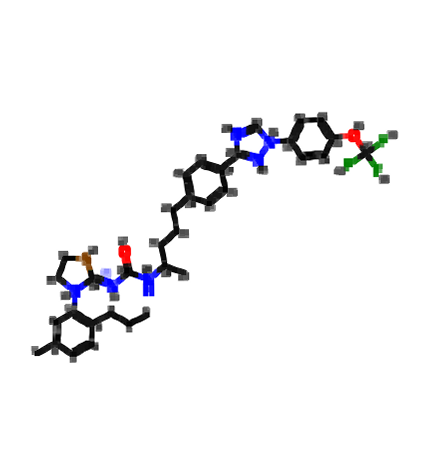 CCCc1ccc(C)cc1N1CCS/C1=N\C(=O)NC(C)CCCc1ccc(-c2ncn(-c3ccc(OC(F)(F)F)cc3)n2)cc1